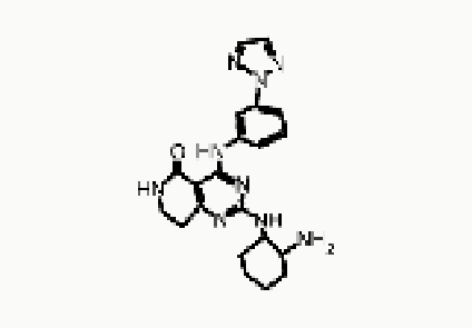 NC1CCCCC1Nc1nc2c(c(Nc3cccc(-n4nccn4)c3)n1)C(=O)NCC2